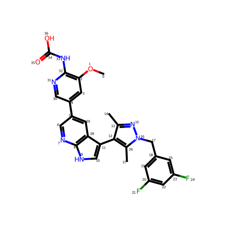 COc1cc(-c2cnc3[nH]cc(-c4c(C)nn(Cc5cc(F)cc(F)c5)c4C)c3c2)cnc1NC(=O)O